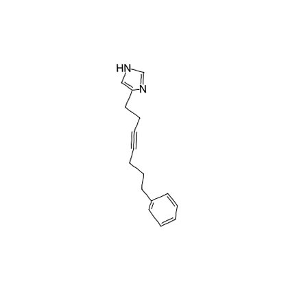 C(#CCCc1c[nH]cn1)CCCc1ccccc1